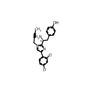 CC#CCn1cc(-c2ccc(Cl)cc2Cl)nc1[C@@H](N)Cc1ccc(O)cc1